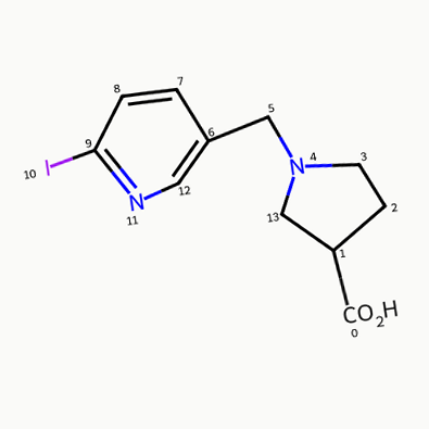 O=C(O)C1CCN(Cc2ccc(I)nc2)C1